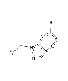 FC(F)(F)Cn1ncc2ccc(Br)nc21